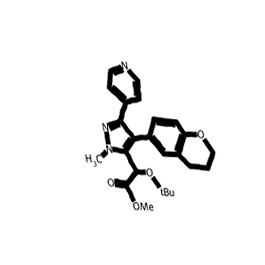 COC(=O)C(OC(C)(C)C)c1c(-c2ccc3c(c2)CCCO3)c(-c2ccncc2)nn1C